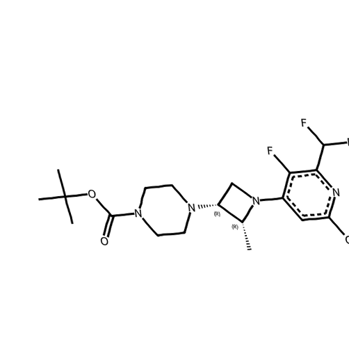 C[C@@H]1[C@H](N2CCN(C(=O)OC(C)(C)C)CC2)CN1c1cc(Cl)nc(C(F)F)c1F